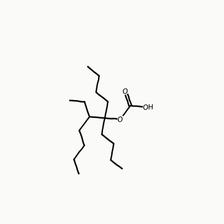 CCCCC(CC)C(CCCC)(CCCC)OC(=O)O